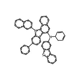 C1=CCC(N(c2ccc3sc4ccccc4c3c2)c2cc3ccccc3c3c2c2ccc(-c4ccccc4)cc2n3-c2ccc3ccccc3c2)C=C1